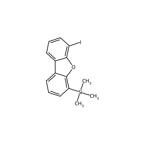 C[Si](C)(C)c1cccc2c1oc1c(I)cccc12